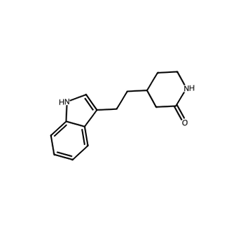 O=C1CC(CCc2c[nH]c3ccccc23)CCN1